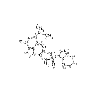 CC(C)c1cc(F)c2c(c1NC(=O)N=[S@@](N)(=O)c1cnn3c1OCCC3)CCC2